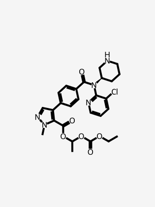 CCOC(=O)OC(C)OC(=O)c1c(-c2ccc(C(=O)N(c3ncccc3Cl)[C@@H]3CCCNC3)cc2)cnn1C